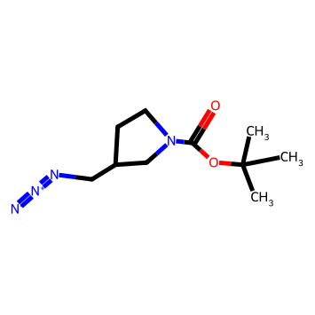 CC(C)(C)OC(=O)N1CCC(CN=[N+]=[N-])C1